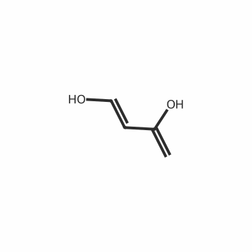 C=C(O)/C=C/O